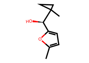 Cc1ccc([C@@H](O)C2(C)CC2)o1